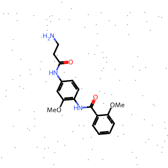 COc1cc(NC(=O)CCN)ccc1NC(=O)c1ccccc1OC